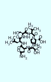 CC(C)C[C@H](NC(=O)[C@H](CC(N)=O)NC(=O)[C@@H](N)[C@@H](C)O)C(=O)N[C@@H](CO)C(=O)N[C@H](C(=O)N1CCC[C@H]1C(=O)O)C(C)C